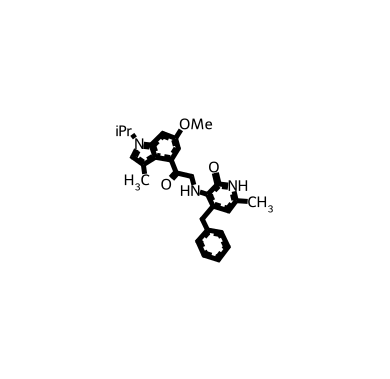 COc1cc(C(=O)CNc2c(Cc3ccccc3)cc(C)[nH]c2=O)c2c(C)cn(C(C)C)c2c1